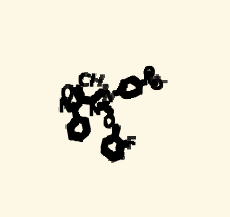 Cc1onc(-c2ccccc2)c1-c1cn(-c2ccc([N+](=O)[O-])cc2)c(COCc2ccccc2F)n1